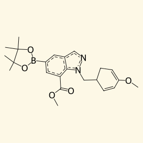 COC(=O)c1cc(B2OC(C)(C)C(C)(C)O2)cc2cnn(CC3C=CC(OC)=CC3)c12